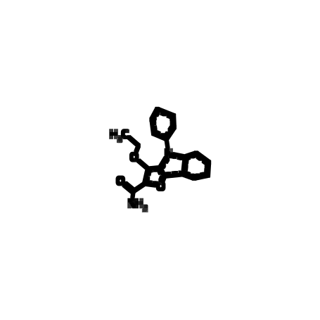 CCOc1c(C(N)=O)oc2c3ccccc3n(-c3ccccc3)c12